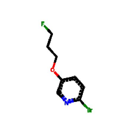 FCCCOc1ccc(Br)nc1